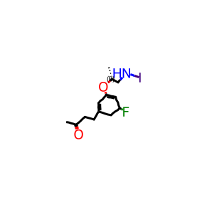 CC(=O)CCC1=CC(O[C@H](C)CNI)=CC(F)C1